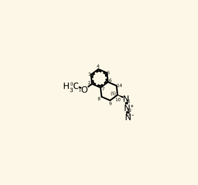 COc1cccc2c1CC[C@H](N=[N+]=[N-])C2